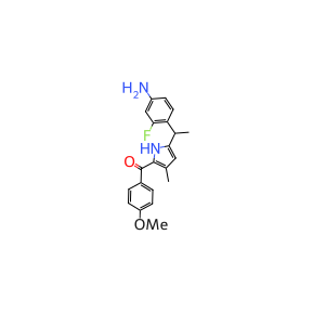 COc1ccc(C(=O)c2[nH]c(C(C)c3ccc(N)cc3F)cc2C)cc1